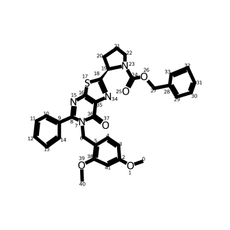 COc1ccc(Cn2c(-c3ccccc3)nc3sc([C@H]4CCCN4C(=O)OCc4ccccc4)nc3c2=O)c(OC)c1